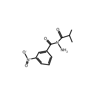 CC(C)C(=O)N(N)C(=O)c1cccc([N+](=O)[O-])c1